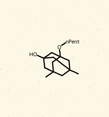 CCCCCOC12CC3(C)CC(C)(CC(O)(C3)C1)C2